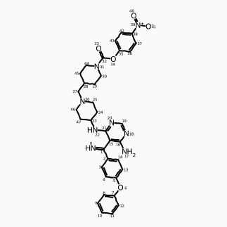 N=C(c1ccc(Oc2ccccc2)cc1)c1c(N)ncnc1NC1CCN(CC2CCN(C(=O)Oc3ccc([N+](=O)[O-])cc3)CC2)CC1